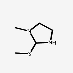 CSC1NCCN1C